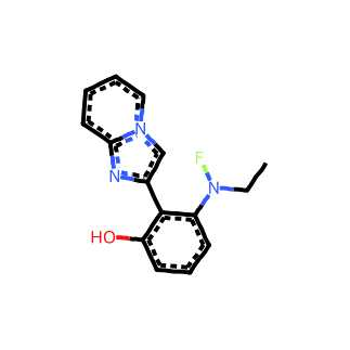 CCN(F)c1cccc(O)c1-c1cn2ccccc2n1